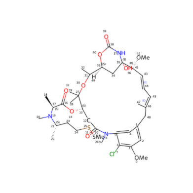 COc1cc2cc(c1Cl)N(C)C(=O)C[C@H](OC(=O)[C@H](C)N(C)[C@@H](C)CCSSC)C(C)(C)OC(C)[C@@H]1C[C@@](O)(NC(=O)O1)[C@H](OC)/C=C/C=C(\C)C2